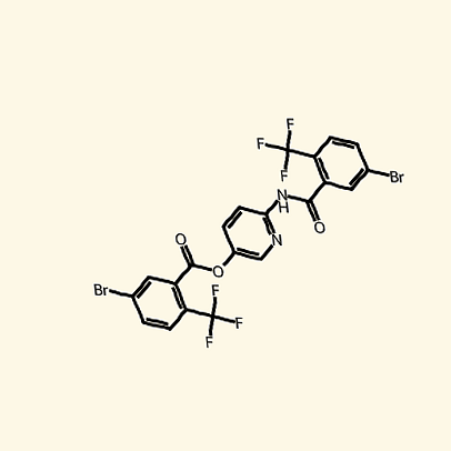 O=C(Nc1ccc(OC(=O)c2cc(Br)ccc2C(F)(F)F)cn1)c1cc(Br)ccc1C(F)(F)F